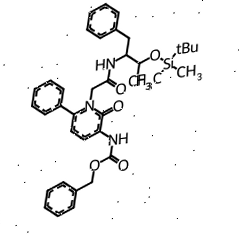 CC(C)(C)[Si](C)(C)OC(C(Cc1ccccc1)NC(=O)Cn1c(-c2ccccc2)ccc(NC(=O)OCc2ccccc2)c1=O)C(F)(F)F